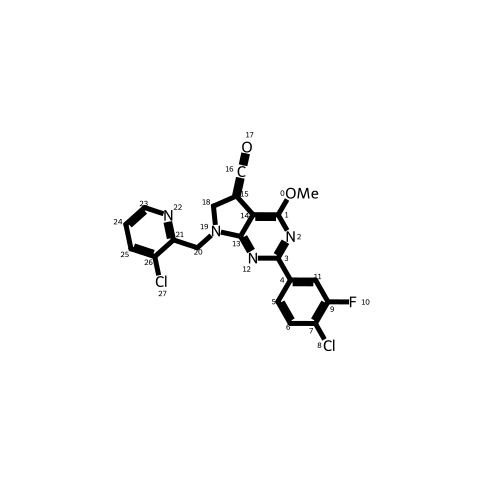 COc1nc(-c2ccc(Cl)c(F)c2)nc2c1C(=C=O)CN2Cc1ncccc1Cl